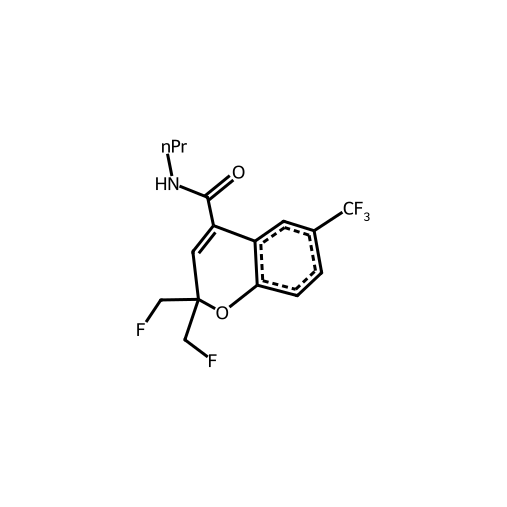 CCCNC(=O)C1=CC(CF)(CF)Oc2ccc(C(F)(F)F)cc21